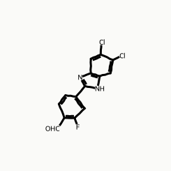 O=Cc1ccc(-c2nc3cc(Cl)c(Cl)cc3[nH]2)cc1F